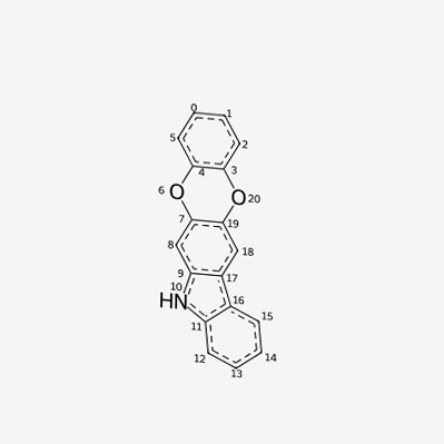 c1ccc2c(c1)Oc1cc3[nH]c4ccccc4c3cc1O2